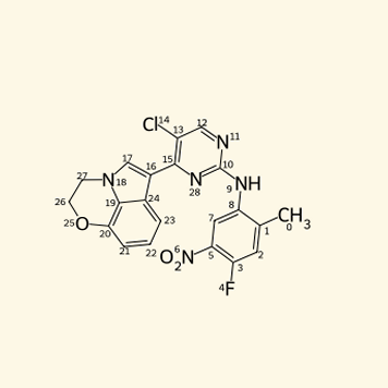 Cc1cc(F)c([N+](=O)[O-])cc1Nc1ncc(Cl)c(-c2cn3c4c(cccc24)OCC3)n1